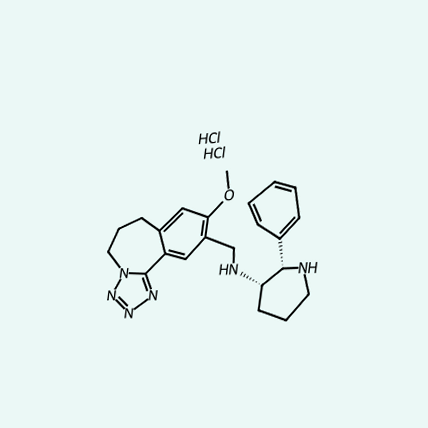 COc1cc2c(cc1CN[C@H]1CCCN[C@H]1c1ccccc1)-c1nnnn1CCC2.Cl.Cl